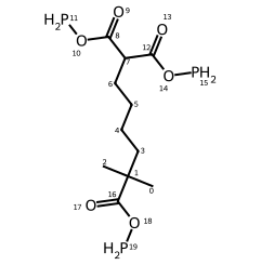 CC(C)(CCCCC(C(=O)OP)C(=O)OP)C(=O)OP